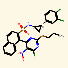 CCCSc1nc(Cl)c([N+](=O)[O-])c(-c2c(S(=O)(=O)N[C@@H]3C[C@H]3c3ccc(F)c(F)c3)ccc3ccccc23)n1